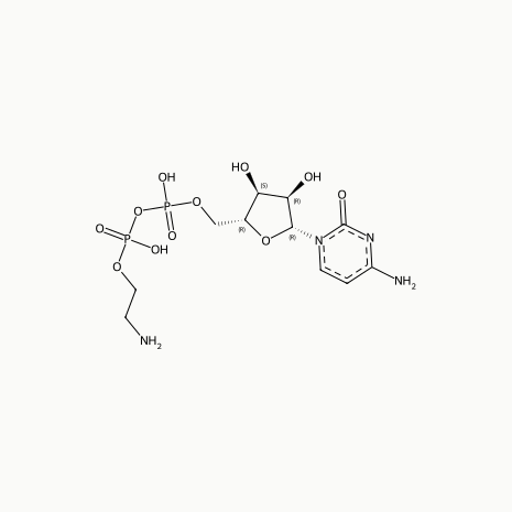 NCCOP(=O)(O)OP(=O)(O)OC[C@H]1O[C@@H](n2ccc(N)nc2=O)[C@H](O)[C@@H]1O